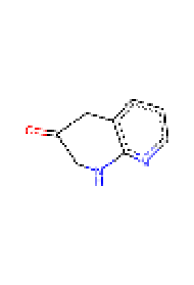 O=C1CNc2ncccc2C1